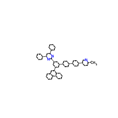 Cc1ccc(-c2ccc(-c3ccc(-c4cc(-c5nc(-c6ccccc6)cc(-c6ccccc6)n5)cc(-c5cc6ccccc6c6ccccc56)c4)cc3)cc2)cn1